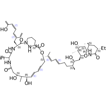 C=C/C(=C\C=C/C(=C)O)C[C@@H]1NC(=O)C(C(C)C)NC(=O)C[C@H](O)C(C)[C@H](O)/C=C/C=C/C[C@@H](/C(C)=C/C=C/CC[C@H](C)[C@@H](O)C[C@@H]2O[C@@]3(NC(=O)[C@@H](CC)C[C@@H]3C)[C@@H](C)[C@@H](O)[C@H]2C)OC(=O)[C@@H]2CCCN(N2)C1=O